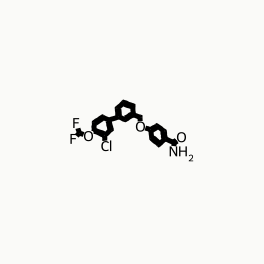 NC(=O)c1ccc(OCc2cccc(-c3ccc(OC(F)F)c(Cl)c3)c2)cc1